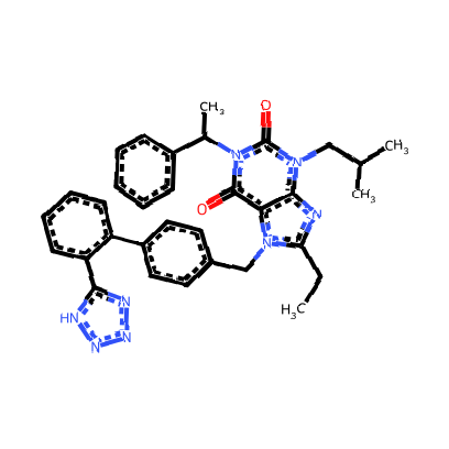 CCc1nc2c(c(=O)n(C(C)c3ccccc3)c(=O)n2CC(C)C)n1Cc1ccc(-c2ccccc2-c2nnn[nH]2)cc1